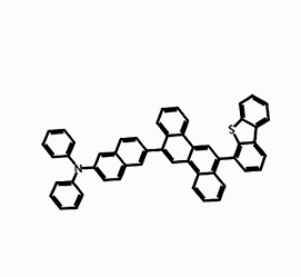 c1ccc(N(c2ccccc2)c2ccc3cc(-c4cc5c6ccccc6c(-c6cccc7c6sc6ccccc67)cc5c5ccccc45)ccc3c2)cc1